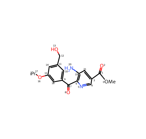 COC(=O)c1cnc(C(=O)c2cc(CO)cc(OC(C)C)c2)c(N)c1